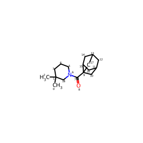 CC1(C)CCCN(C(=O)C23CC4CC(CC2C4)C3)C1